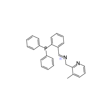 Cc1cccnc1C/N=C/c1ccccc1P(c1ccccc1)c1ccccc1